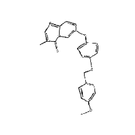 COc1ccc(COc2ccc(Oc3ccc4ncc(C)c(=O)n4c3)cn2)cc1